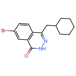 O=c1[nH]nc(CC2CCCCC2)c2ccc(Br)cc12